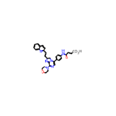 O=C(O)CCC(=O)Nc1ccc(-c2cnc(N3CCOCC3)c3nc(CCc4ccc5ccccc5n4)cn23)cc1